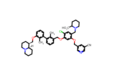 Cc1c(COc2cc(OCc3cncc(C#N)c3)c(CN3CCCCC3C(=O)O)cc2Cl)cccc1-c1cccc(OC[C@@H]2CCCN3CCCC[C@H]23)c1C